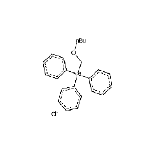 CCCCOC[P+](c1ccccc1)(c1ccccc1)c1ccccc1.[Cl-]